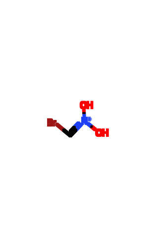 O[N+](O)=CBr